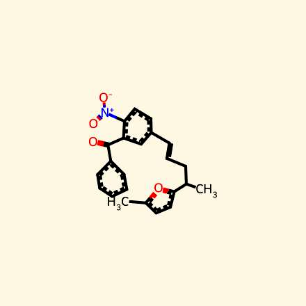 Cc1ccc(C(C)C/C=C/c2ccc([N+](=O)[O-])c(C(=O)c3ccccc3)c2)o1